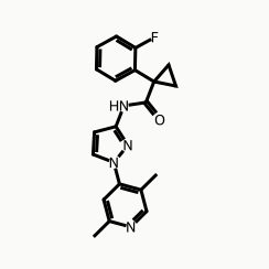 Cc1cc(-n2ccc(NC(=O)C3(c4ccccc4F)CC3)n2)c(C)cn1